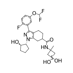 CC1(NC(=O)C2CCc3c(-c4cc(OC(F)F)ccc4F)nn([C@@H]4CCC[C@H]4O)c3C2)CS(O)(O)C1